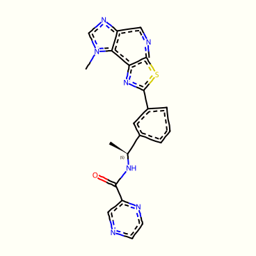 C[C@H](NC(=O)c1cnccn1)c1cccc(-c2nc3c(ncc4ncn(C)c43)s2)c1